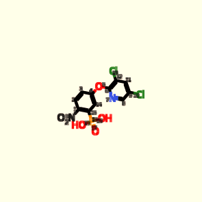 O=[N+]([O-])c1ccc(Oc2ncc(Cl)cc2Cl)cc1P(=O)(O)O